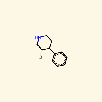 C[C@@H]1CNCCC1c1ccccc1